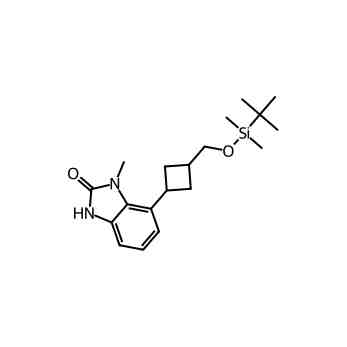 Cn1c(=O)[nH]c2cccc(C3CC(CO[Si](C)(C)C(C)(C)C)C3)c21